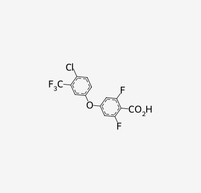 O=C(O)c1c(F)cc(Oc2ccc(Cl)c(C(F)(F)F)c2)cc1F